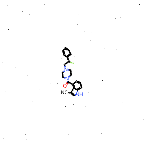 N#Cc1c[nH]c2cccc(C(=O)N3CCN(CC(F)c4ccccc4)CC3)c12